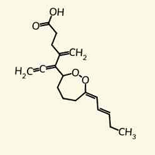 C=C=C(C(=C)CCC(=O)O)C1CCCC(=CC=CCC)OO1